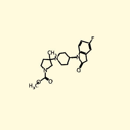 COC(=O)N1CCC(C)(N2CCC(N3C(=O)Cc4cc(F)ccc43)CC2)C1